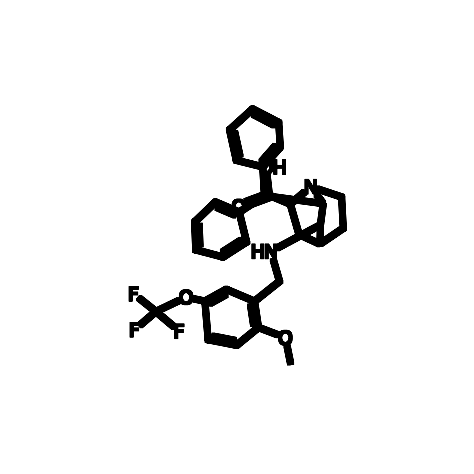 COc1ccc(OC(F)(F)F)cc1CNC1C2CCN(C(C(=O)O)C2)C1C(c1ccccc1)c1ccccc1